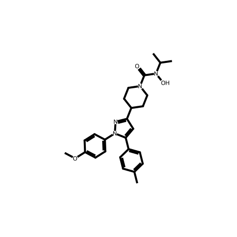 COc1ccc(-n2nc(C3CCN(C(=O)N(O)C(C)C)CC3)cc2-c2ccc(C)cc2)cc1